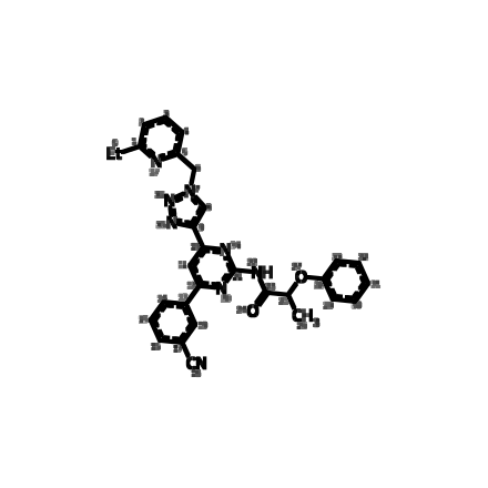 CCc1cccc(Cn2cc(-c3cc(-c4cccc(C#N)c4)nc(NC(=O)C(C)Oc4ccccc4)n3)nn2)n1